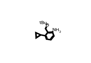 CC(C)(C)OCc1c(N)cccc1C1CC1